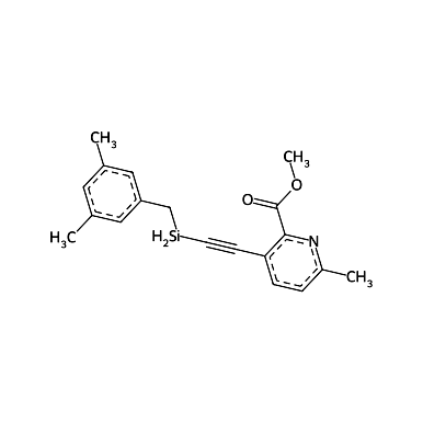 COC(=O)c1nc(C)ccc1C#C[SiH2]Cc1cc(C)cc(C)c1